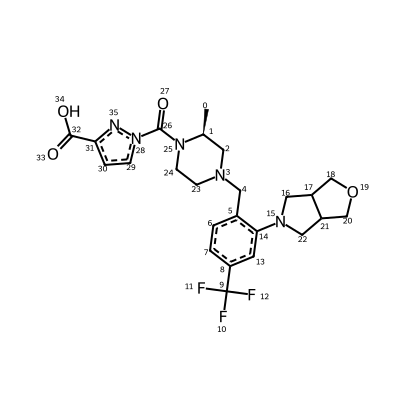 C[C@H]1CN(Cc2ccc(C(F)(F)F)cc2N2CC3COCC3C2)CCN1C(=O)n1ccc(C(=O)O)n1